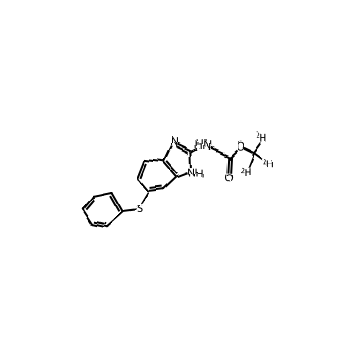 [2H]C([2H])([2H])OC(=O)Nc1nc2ccc(Sc3ccccc3)cc2[nH]1